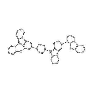 c1ccc2c(c1)Oc1cc(-c3ccc(-n4c5ccccc5c5cc(-c6cccc7c6sc6ccccc67)ccc54)cc3)cc3c4ccccc4n-2c13